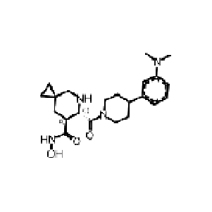 CN(C)c1cccc(C2CCN(C(=O)[C@H]3NCC4(CC4)C[C@@H]3C(=O)NO)CC2)c1